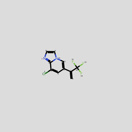 C=C(c1cc(Cl)c2nccn2c1)C(F)(F)F